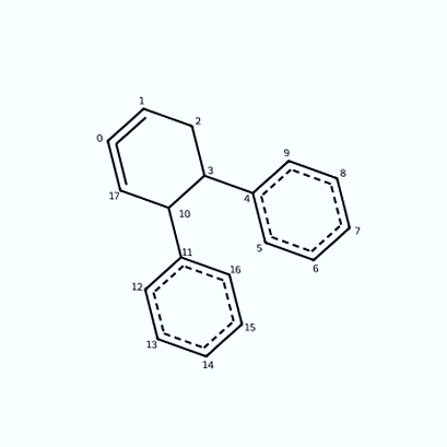 C1=CCC(c2ccccc2)C(c2ccccc2)C=1